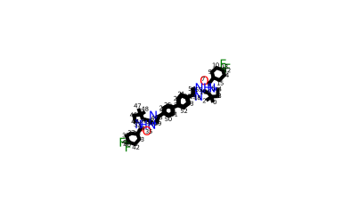 CC1(C)CCN(C(=O)C2CCC(F)(F)CC2)C1c1nc(-c2ccc(-c3ccc(-c4c[nH]c(C5N(C(=O)C6CCC(F)(F)CC6)CCC5(C)C)n4)cc3)cc2)c[nH]1